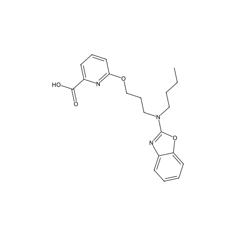 CCCCN(CCCOc1cccc(C(=O)O)n1)c1nc2ccccc2o1